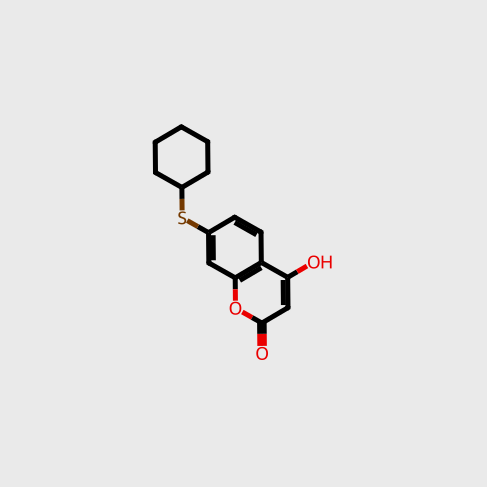 O=c1cc(O)c2ccc(SC3CCCCC3)cc2o1